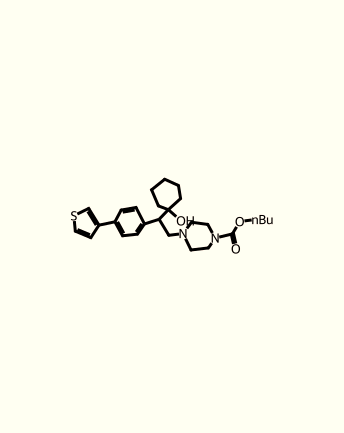 CCCCOC(=O)N1CCN(CC(c2ccc(-c3ccsc3)cc2)C2(O)CCCCC2)CC1